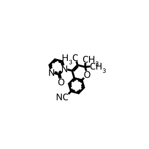 CC1=C(n2cccnc2=O)c2cc(C#N)ccc2OC1(C)C